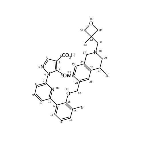 COc1c(C(=O)O)cnn1-c1cccc(-c2cccc(C)c2OCc2ccc3c(c2)C(C)CN(CC2(C)COC2)C3)n1